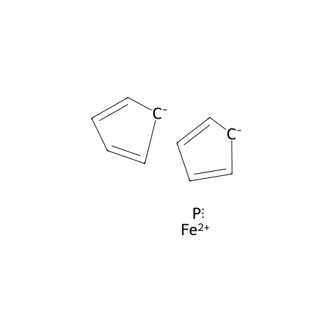 [Fe+2].[P].c1cc[cH-]c1.c1cc[cH-]c1